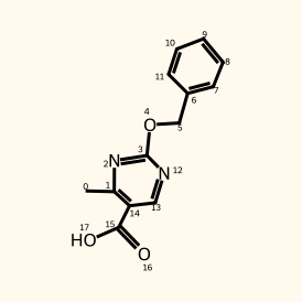 Cc1nc(OCc2ccccc2)ncc1C(=O)O